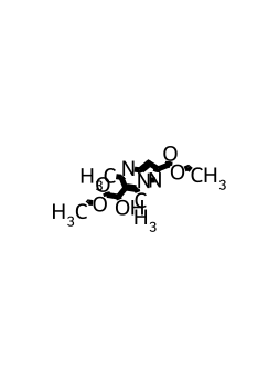 CCOC(=O)c1cc2nc(C)c(C(O)C(=O)OCC)c(C)n2n1